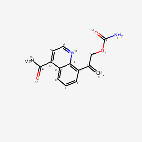 C=C(COC(N)=O)c1cccc2c(C(=O)NC)ccnc12